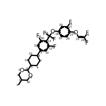 CC1COC(C2CCC(c3cc(F)c(C(F)(F)Oc4ccc(OC=C(F)F)c(F)c4)c(F)c3)CC2)OC1